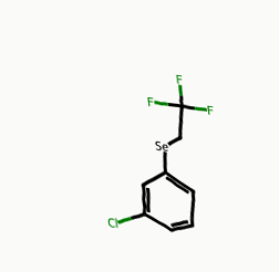 FC(F)(F)C[Se]c1cccc(Cl)c1